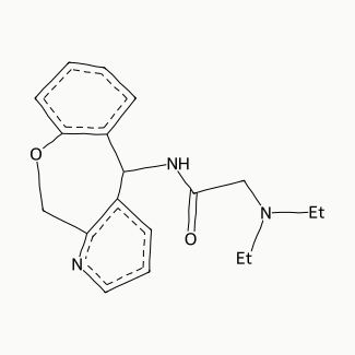 CCN(CC)CC(=O)NC1c2ccccc2OCc2ncccc21